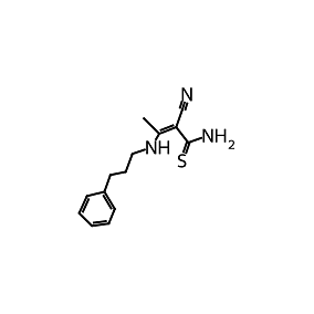 C/C(NCCCc1ccccc1)=C(\C#N)C(N)=S